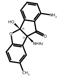 CC(=O)N[C@]12C(=O)c3c(N)cccc3[C@@]1(O)Oc1ccc(C)cc12